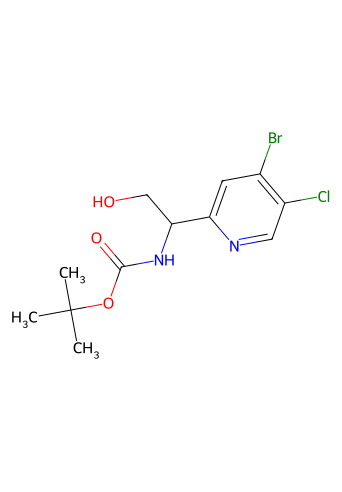 CC(C)(C)OC(=O)NC(CO)c1cc(Br)c(Cl)cn1